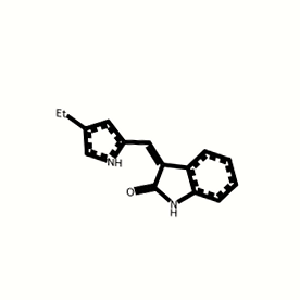 CCc1c[nH]c(/C=C2\C(=O)Nc3ccccc32)c1